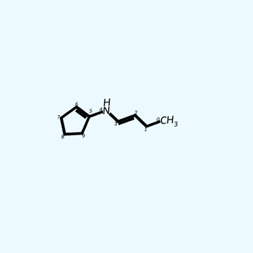 CCC=CNC1=CCCC1